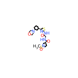 C[S+]([O-])n1ccc(C(=O)NCC(=O)Nc2nc(-c3cccc(N4CCOCC4)c3)cs2)c1